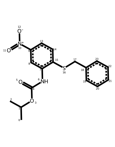 CC(C)OC(=O)Nc1cc([N+](=O)[O-])ccc1SCc1ccccc1